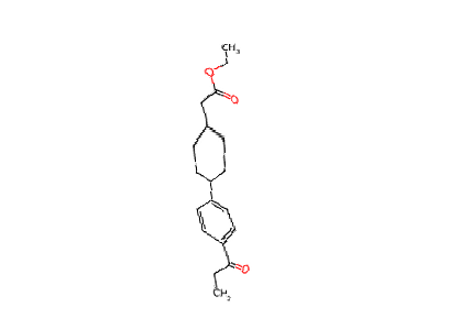 CCOC(=O)CC1CCC(c2ccc(C(=O)CC)cc2)CC1